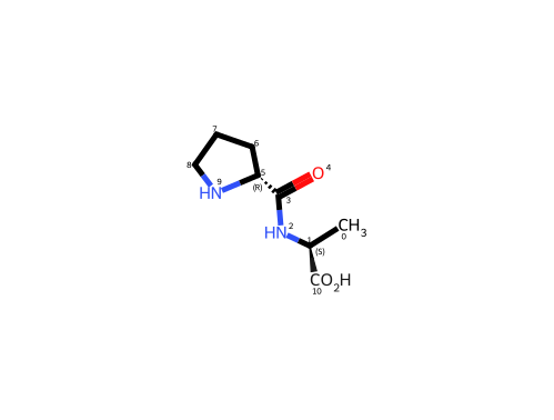 C[C@H](NC(=O)[C@H]1CCCN1)C(=O)O